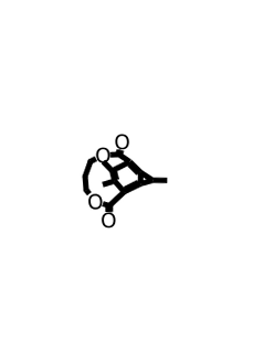 Cc1c(C)c2c3c(c1C(=O)OCCCOC2=O)C3C